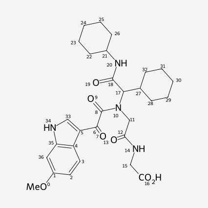 COc1ccc2c(C(=O)C(=O)N(CC(=O)NCC(=O)O)C(C(=O)NC3CCCCC3)C3CCCCC3)c[nH]c2c1